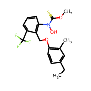 CCc1ccc(OCc2c(N(O)C(=S)OC)cccc2C(F)(F)F)c(C)c1